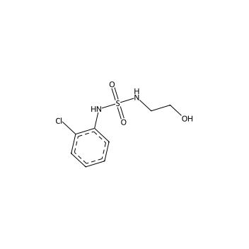 O=S(=O)(NCCO)Nc1ccccc1Cl